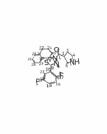 O=C(C1CCNC1)N1N=C(c2cc(F)ccc2F)SC12CCCc1ccccc12